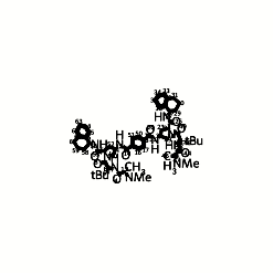 CN[C@@H](C)C(=O)N[C@H](C(=O)N1C[C@@H](NC(=O)c2ccc(C(=O)NC3C[C@@H](C(=O)N[C@@H]4CCCc5ccccc54)N(C(=O)[C@@H](NC(=O)[C@H](C)NC)C(C)(C)C)C3)cc2)CC1C(=O)N[C@@H]1CCCc2ccccc21)C(C)(C)C